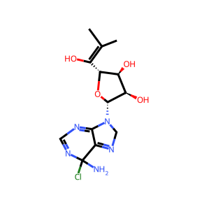 CC(C)=C(O)[C@H]1O[C@@H](N2CN=C3C2=NC=NC3(N)Cl)[C@H](O)[C@@H]1O